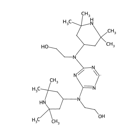 CC1(C)CC(N(CCO)c2n[c]nc(N(CCO)C3CC(C)(C)NC(C)(C)C3)n2)CC(C)(C)N1